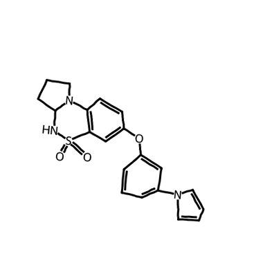 O=S1(=O)NC2CCCN2c2ccc(Oc3cccc(-n4cccc4)c3)cc21